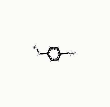 CC(C)Sc1ccc(C(=O)O)cc1